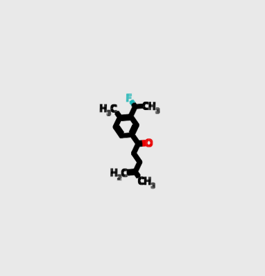 C=C(C)CCC(=O)c1ccc(C)c(C(C)F)c1